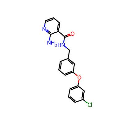 Nc1ncccc1C(=O)NCc1cccc(Oc2cccc(Cl)c2)c1